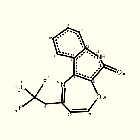 CC(F)(F)CC1=Nc2c(c(=O)[nH]c3ccccc23)OC=C1